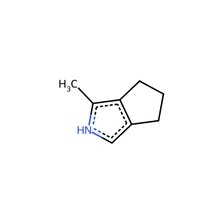 Cc1[nH]cc2c1CCC2